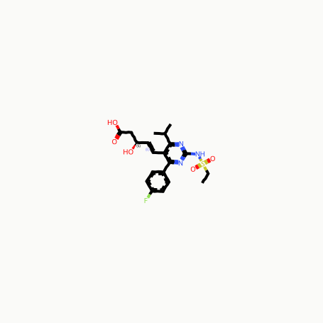 CCS(=O)(=O)Nc1nc(-c2ccc(F)cc2)c(/C=C/[C@@H](O)CC(=O)O)c(C(C)C)n1